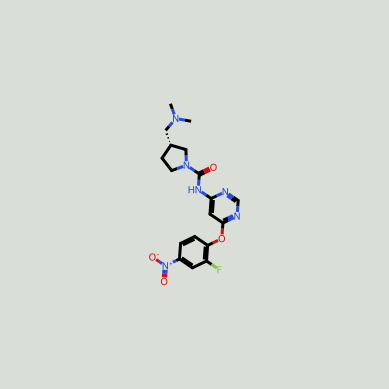 CN(C)C[C@H]1CCN(C(=O)Nc2cc(Oc3ccc([N+](=O)[O-])cc3F)ncn2)C1